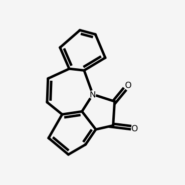 O=C1C(=O)N2c3ccccc3C=Cc3cccc1c32